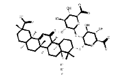 CC1(C)[C@@H](O[C@H]2O[C@H](C(=O)[O-])[C@@H](O)[C@H](O)[C@H]2O[C@@H]2O[C@H](C(=O)[O-])[C@@H](O)[C@H](O)[C@H]2O)CC[C@]2(C)[C@H]3C(=O)C=C4[C@@H]5C[C@@](C)(C(=O)[O-])CC[C@]5(C)CC[C@@]4(C)[C@]3(C)CC[C@@H]12.[K+].[K+].[K+]